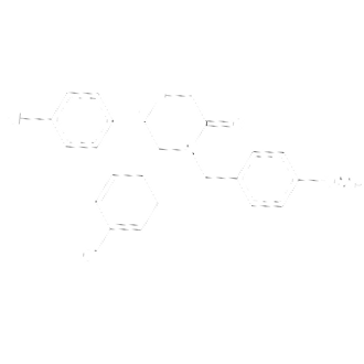 COc1ccc(CN2C(=O)CO[C@@H](c3ccc(Cl)cc3)[C@H]2C2C=CC(Cl)=CC2)cc1